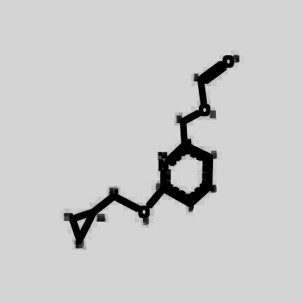 O=COCc1cccc(OCC2CC2)n1